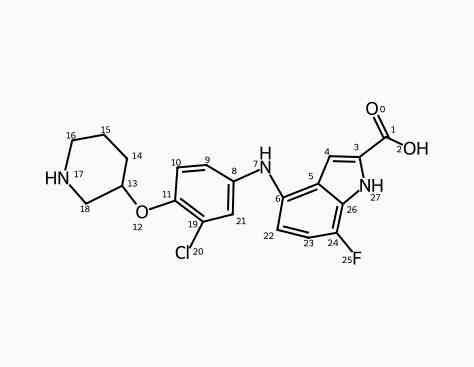 O=C(O)c1cc2c(Nc3ccc(OC4CCCNC4)c(Cl)c3)ccc(F)c2[nH]1